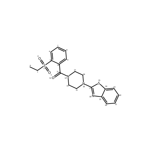 CCS(=O)(=O)c1ccccc1C(=O)N1CCN(c2nc3ccccc3s2)CC1